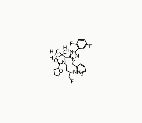 CC(C)(C)[C@H](c1nc(-c2cc(F)ccc2F)nn1Cc1ccccc1)N(CCC(N)CF)C(=O)[C@@H]1CCCO1